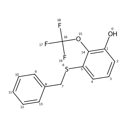 Oc1cccc(SCc2ccccc2)c1OC(F)(F)F